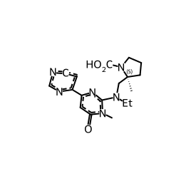 CCN(C[C@]1(C)CCCN1C(=O)O)c1nc(-c2ccncn2)cc(=O)n1C